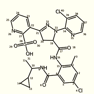 Cc1cc(Cl)cc(C(=O)NC(C)C2CC2)c1NC(=O)C1CC(c2cccnc2S(=O)(=O)O)=NN1c1ncccc1Cl